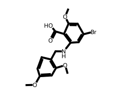 COc1ccc(CNc2cc(Br)cc(OC)c2C(=O)O)c(OC)c1